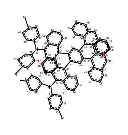 Cc1ccc(N(c2ccc(C)cc2)c2c3ccccc3c(-c3cc(-c4c5ccccc5cc5ccccc45)c(-c4c5ccccc5cc5ccccc45)cc3-c3c4ccccc4c(N(c4ccc(C)cc4)c4ccc(C)cc4)c4ccccc34)c3ccccc23)cc1